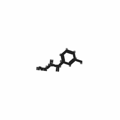 CCCCCNNc1cccc(C)c1